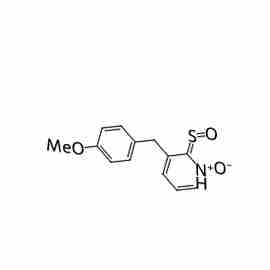 COc1ccc(CC2=CC=C[NH+]([O-])C2=S=O)cc1